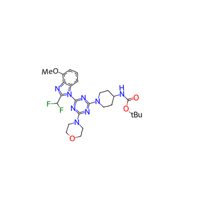 COc1cccc2c1nc(C(F)F)n2-c1nc(N2CCOCC2)nc(N2CCC(NC(=O)OC(C)(C)C)CC2)n1